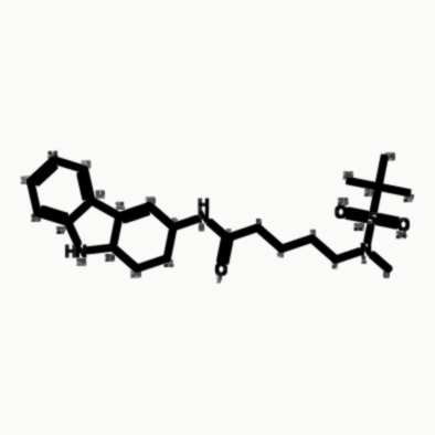 CN(CCCCC(=O)NC1C=C2c3ccccc3NC2CC1)S(=O)(=O)C(C)(C)C